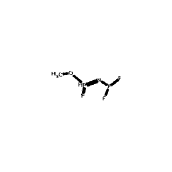 CO/[PH](F)=N/P(F)F